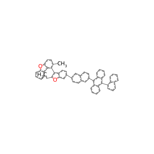 C=Cc1oc2cc(-c3ccc4cc(-c5c6ccccc6c(-c6cccc7ccccc67)c6ccccc56)ccc4c3)ccc2c1-c1c(C)ccc2oc3ccccc3c12